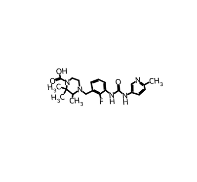 Cc1ccc(NC(=O)Nc2cccc(CN3CCN(C(=O)O)C(C)(C)C3C)c2F)cn1